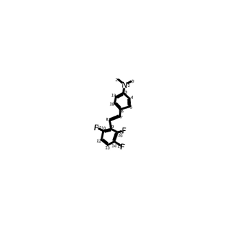 CN(C)c1ccc(C=Cc2c(F)ccc(F)c2F)cc1